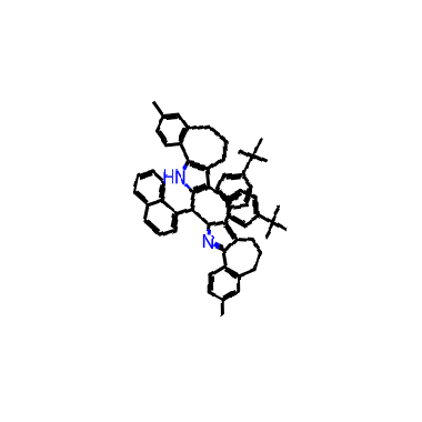 Cc1ccc2c(c1)CCCC1=C(c3ccc(C(C)(C)C)cc3)C(C(c3[nH]c4c(c3-c3ccc(C(C)(C)C)cc3)CCCc3cc(C)ccc3-4)c3cccc4ccccc34)N=C12